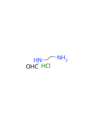 Cl.NCCNC=O